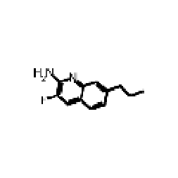 CCCc1ccc2cc(F)c(N)nc2c1